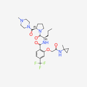 CCC[C@@H](NC(=O)c1ccc(C(F)(F)F)cc1OCC(=O)NC1(C)CC1)C(=O)N1CCC[C@@H]1C(=O)N1CCN(C)CC1